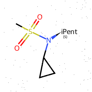 CCC[C@H](C)N(C1CC1)S(C)(=O)=O